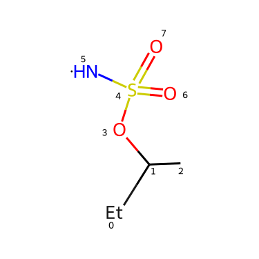 CCC(C)OS([NH])(=O)=O